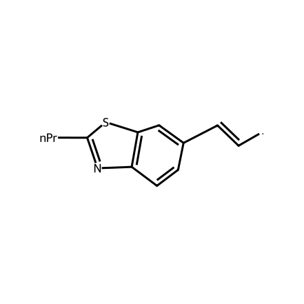 [CH2]C=Cc1ccc2nc(CCC)sc2c1